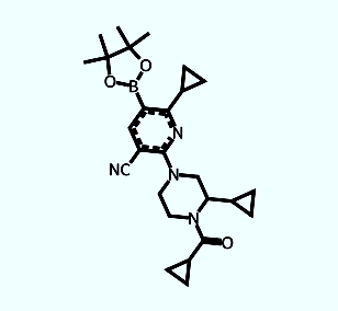 CC1(C)OB(c2cc(C#N)c(N3CCN(C(=O)C4CC4)C(C4CC4)C3)nc2C2CC2)OC1(C)C